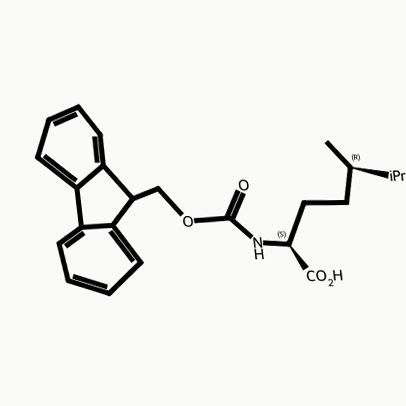 CC(C)[C@H](C)CC[C@H](NC(=O)OCC1c2ccccc2-c2ccccc21)C(=O)O